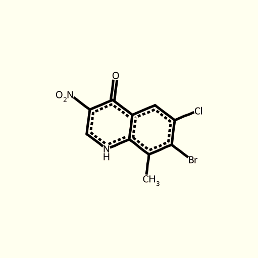 Cc1c(Br)c(Cl)cc2c(=O)c([N+](=O)[O-])c[nH]c12